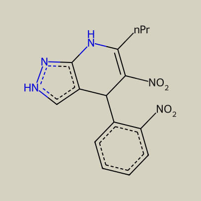 CCCC1=C([N+](=O)[O-])C(c2ccccc2[N+](=O)[O-])c2c[nH]nc2N1